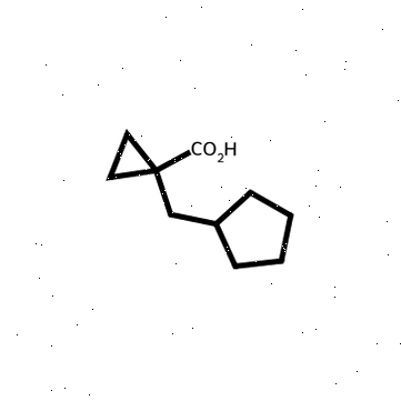 O=C(O)C1(CC2CCCC2)CC1